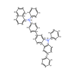 c1ccc(-c2ccc3c(c2)c2ccc(-c4ccc(N(c5ccccc5)c5cccc6ccccc56)cc4)cc2n3-c2ccccc2)cc1